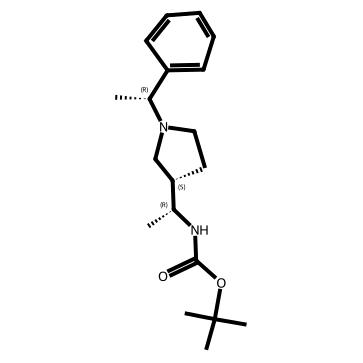 C[C@H](c1ccccc1)N1CC[C@H]([C@@H](C)NC(=O)OC(C)(C)C)C1